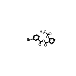 CC(=O)Oc1ccccc1C(=O)OC(=O)c1cccc(Br)c1